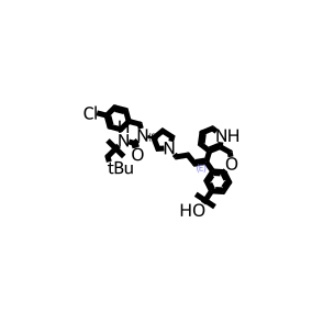 CC(C)(C)CC(C)(C)NC(=O)N(CC1C=CC(Cl)=CC1)[C@H]1CCN(CC/C=C2\C3=C(COc4ccc(C(C)(C)O)cc42)NCC=C3)C1